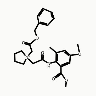 COC(=O)c1cc(OC)cc(C)c1NC(=O)C[N+]1(CC(=O)OCc2ccccc2)CCCC1